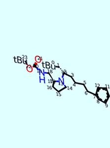 CC(C)(C)C[C@H](CCCCc1ccccc1)N1CCC[C@H]1CNC(=O)OC(C)(C)C